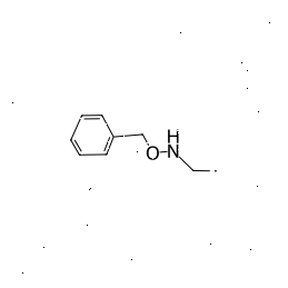 [CH2]CNOCc1ccccc1